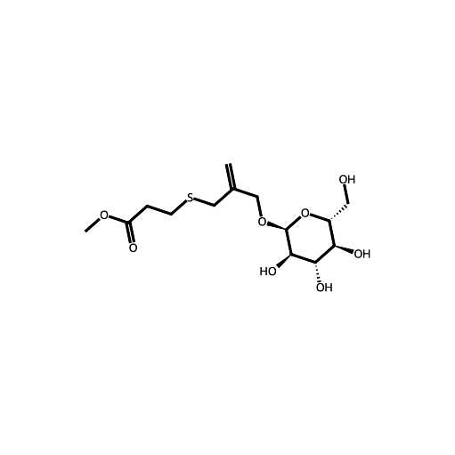 C=C(CO[C@H]1O[C@H](CO)[C@@H](O)[C@H](O)[C@H]1O)CSCCC(=O)OC